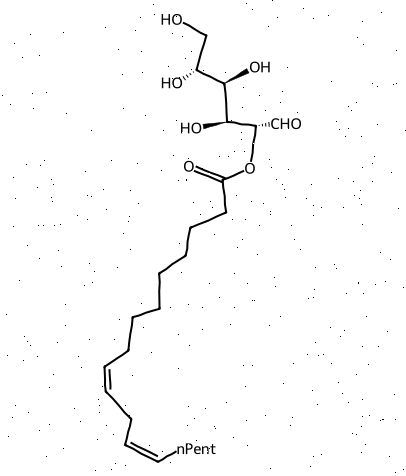 CCCCC/C=C\C/C=C\CCCCCCCC(=O)O[C@@H](C=O)[C@@H](O)[C@H](O)[C@H](O)CO